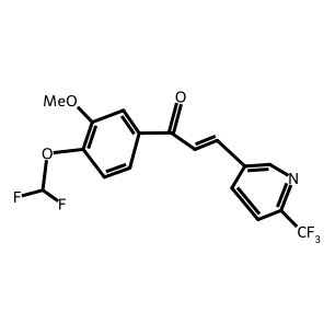 COc1cc(C(=O)C=Cc2ccc(C(F)(F)F)nc2)ccc1OC(F)F